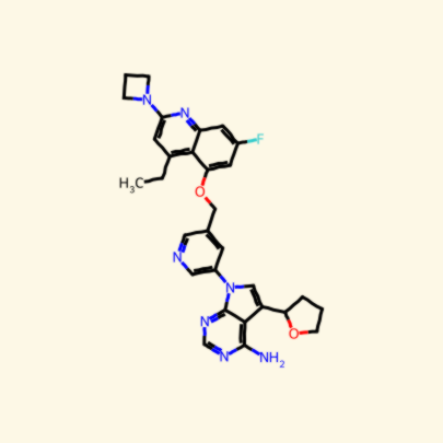 CCc1cc(N2CCC2)nc2cc(F)cc(OCc3cncc(-n4cc(C5CCCO5)c5c(N)ncnc54)c3)c12